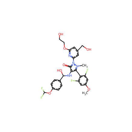 COc1cc(F)c(-c2c(NC(O)c3ccc(OC(F)F)cc3)c(=O)n(-c3cc(CO)cc(OCCO)n3)n2C)c(F)c1